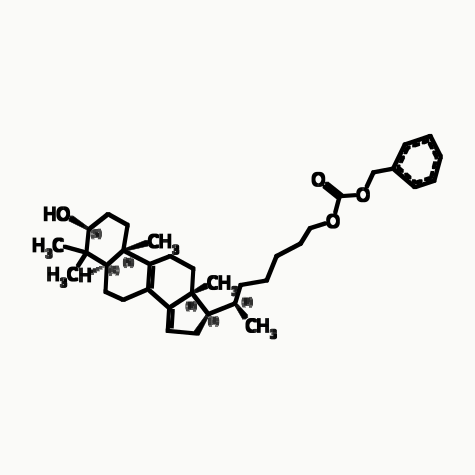 C[C@H](CCCCCOC(=O)OCc1ccccc1)[C@H]1CC=C2C3=C(CC[C@@]21C)[C@@]1(C)CC[C@H](O)C(C)(C)[C@@H]1CC3